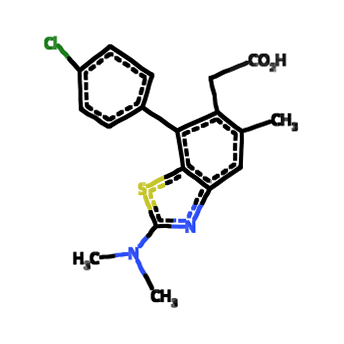 Cc1cc2nc(N(C)C)sc2c(-c2ccc(Cl)cc2)c1CC(=O)O